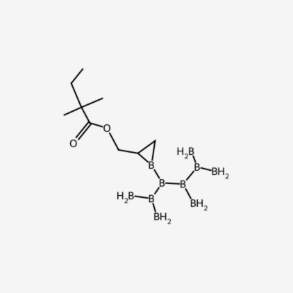 BB(B)B(B)B(B(B)B)B1CC1COC(=O)C(C)(C)CC